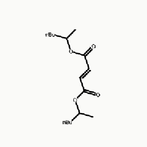 CCCCC(C)OC(=O)C=CC(=O)OC(C)CCCC